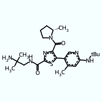 Cc1cc(NC(C)(C)C)ncc1-c1sc(C(=O)NCC(C)(C)N)nc1C(=O)N1CCC[C@@H]1C